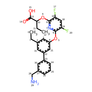 CCc1cc(Oc2nc(OC(CC)C(=O)O)c(F)cc2F)cc(-c2cccc(CN)c2)c1